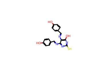 Oc1ccc(/C=N/c2nc(S)nc(O)c2/N=C/c2ccc(O)cc2)cc1